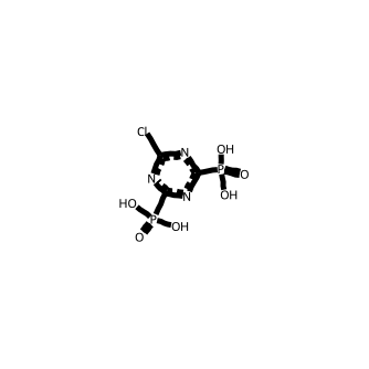 O=P(O)(O)c1nc(Cl)nc(P(=O)(O)O)n1